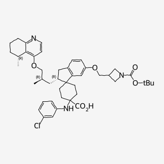 C[C@@H](COc1ccnc2c1[C@H](C)CCC2)C[C@@H]1Cc2ccc(OCC3CN(C(=O)OC(C)(C)C)C3)cc2C12CCC(Nc1cccc(Cl)c1)(C(=O)O)CC2